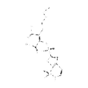 CSCCC/C(C(=O)O)=C(\NS(=O)(=O)c1cc2c(s1)S(=O)(=O)NC=C2)C(=O)O